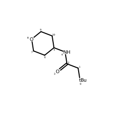 CC(C)(C)CC(=O)NC1CCOCC1